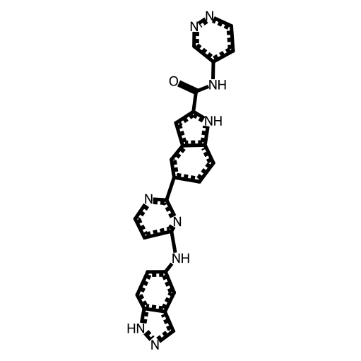 O=C(Nc1ccnnc1)c1cc2cc(-c3nccc(Nc4ccc5[nH]ncc5c4)n3)ccc2[nH]1